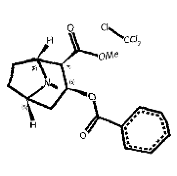 COC(=O)[C@H]1[C@@H](OC(=O)c2ccccc2)C[C@@H]2CC[C@H]1N2C.ClC(Cl)(Cl)Cl